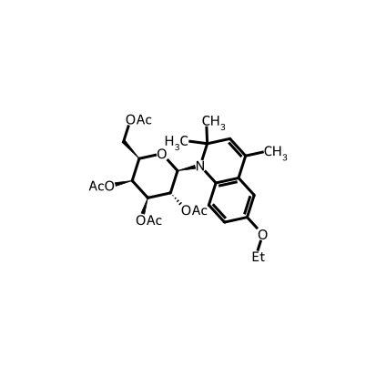 CCOc1ccc2c(c1)C(C)=CC(C)(C)N2[C@@H]1O[C@H](COC(C)=O)[C@H](OC(C)=O)[C@H](OC(C)=O)[C@H]1OC(C)=O